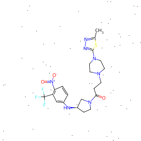 Cc1nnc(N2CCN(CCC(=O)N3CC[C@@H](Nc4ccc([N+](=O)[O-])c(C(F)(F)F)c4)C3)CC2)s1